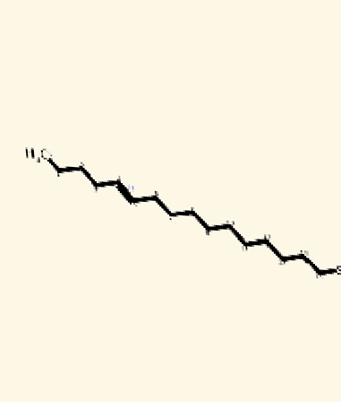 CCCC/C=C/CCCCCCCCCCS